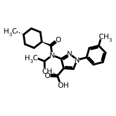 Cc1cccc(-n2cc(C(=O)O)c(N(C(=O)[C@H]3CC[C@H](C)CC3)C(C)C)n2)c1